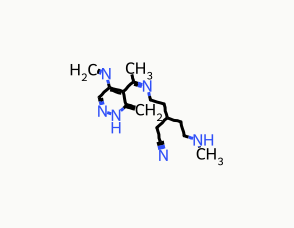 C=NC1=C(/C(C)=N\CCC(CC#N)CCNC)C(=C)NN=C1